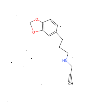 C#CCNCCCc1ccc2c(c1)OCO2